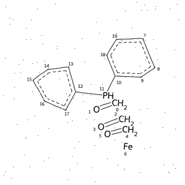 C=O.C=O.C=O.[Fe].c1ccc(Pc2ccccc2)cc1